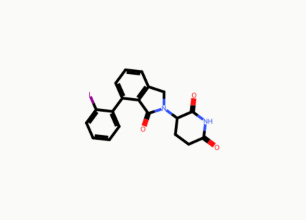 O=C1CCC(N2Cc3cccc(-c4ccccc4I)c3C2=O)C(=O)N1